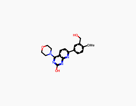 COc1ccc(-c2ccc3c(N4CCOCC4)nc(O)nc3n2)cc1CO